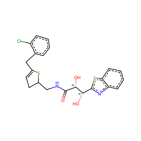 O=C(NCC1CC=C(Cc2ccccc2Cl)S1)[C@H](O)[C@@H](O)c1nc2ccccc2s1